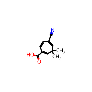 CC1(C)C=C(C#N)C=CC(C(=O)O)=C1